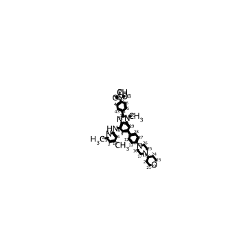 Cc1cc(C)nc(Nc2cc(-c3ccc(N4CCN(C5CCOCC5)CC4)cc3)cc3c2nc(-c2ccc(S(C)(=O)=O)cc2)n3C)c1